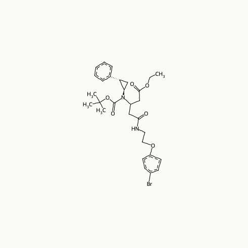 CCOC(=O)CC(CC(=O)NCCOc1ccc(Br)cc1)N(C(=O)OC(C)(C)C)[C@@H]1C[C@H]1c1ccccc1